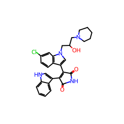 O=C1NC(=O)C(c2cn(CC(O)CN3CCCCC3)c3cc(Cl)ccc23)=C1c1c[nH]c2ccccc12